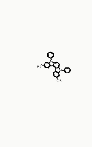 Cc1ccc2c3c4c5ccc(C)cc5n(-c5ccccc5)c4ccc3n(-c3ccccc3)c2c1